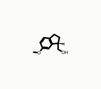 COc1ccc2c(c1)[C@@](I)(CO)CC2